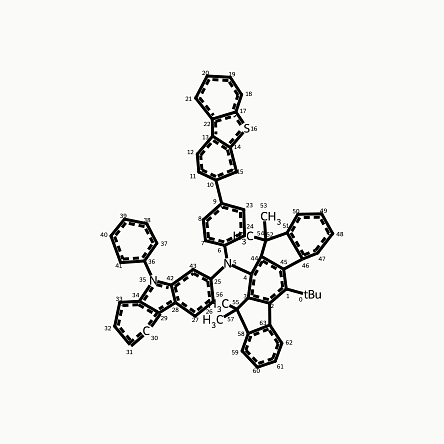 CC(C)(C)c1c2c(c(N(c3ccc(-c4ccc5c(c4)sc4ccccc45)cc3)c3ccc4c5ccccc5n(-c5ccccc5)c4c3)c3c1-c1ccccc1C3(C)C)C(C)(C)c1ccccc1-2